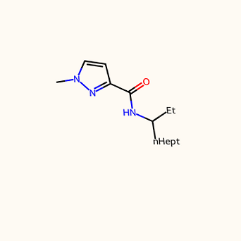 CCCCCCCC(CC)NC(=O)c1ccn(C)n1